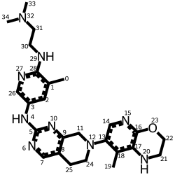 Cc1cc(Nc2ncc3c(n2)CN(c2cnc4c(c2C)NCCO4)CC3)cnc1NCCN(C)C